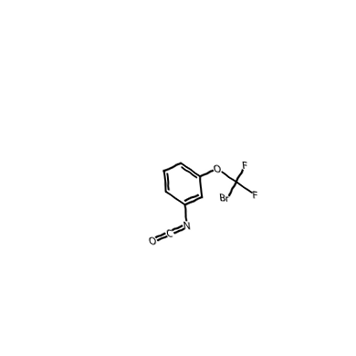 O=C=Nc1cccc(OC(F)(F)Br)c1